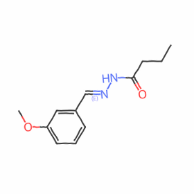 CCCC(=O)N/N=C/c1cccc(OC)c1